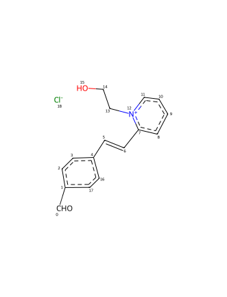 O=Cc1ccc(C=Cc2cccc[n+]2CCO)cc1.[Cl-]